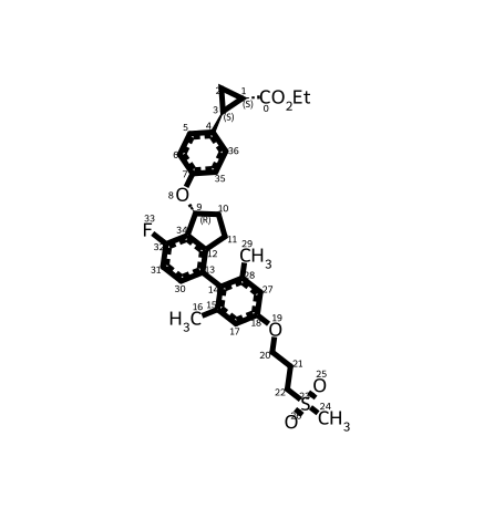 CCOC(=O)[C@H]1C[C@@H]1c1ccc(O[C@@H]2CCc3c(-c4c(C)cc(OCCCS(C)(=O)=O)cc4C)ccc(F)c32)cc1